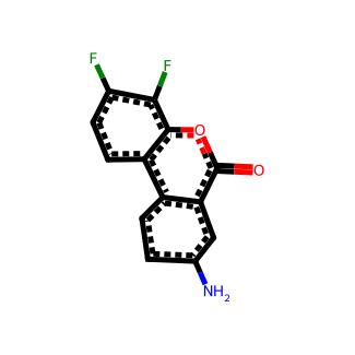 Nc1ccc2c(c1)c(=O)oc1c(F)c(F)ccc12